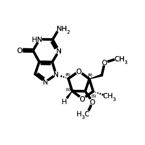 COC[C@@]12O[C@@H](n3ncc4c(=O)[nH]c(N)nc43)[C@@H](O[C@H]1C)C2OC